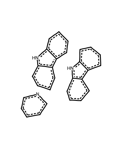 c1ccc2c(c1)[nH]c1ccccc12.c1ccc2c(c1)[nH]c1ccccc12.c1ccncc1